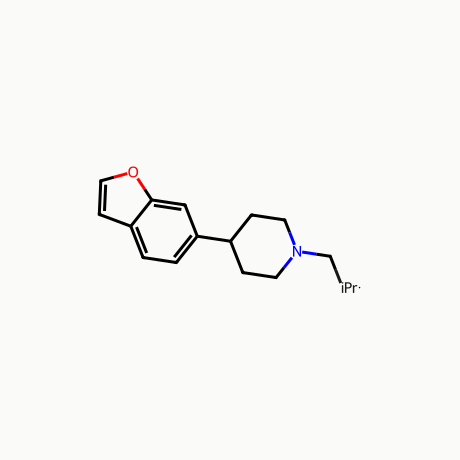 C[C](C)CN1CCC(c2ccc3ccoc3c2)CC1